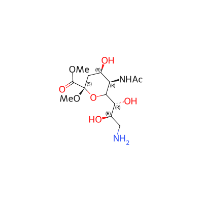 COC(=O)[C@]1(OC)C[C@@H](O)[C@@H](NC(C)=O)C([C@H](O)[C@H](O)CN)O1